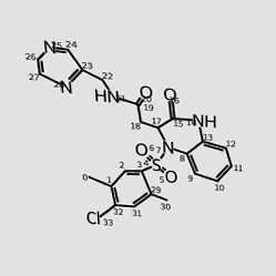 Cc1cc(S(=O)(=O)N2c3ccccc3NC(=O)C2CC(=O)NCc2cnccn2)c(C)cc1Cl